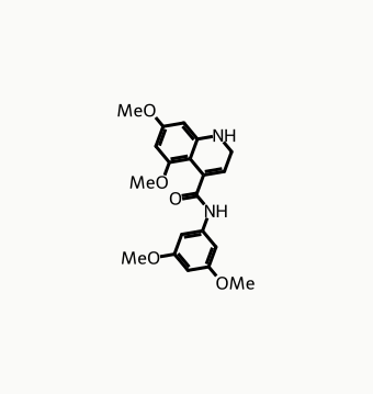 COc1cc(NC(=O)C2=CCNc3cc(OC)cc(OC)c32)cc(OC)c1